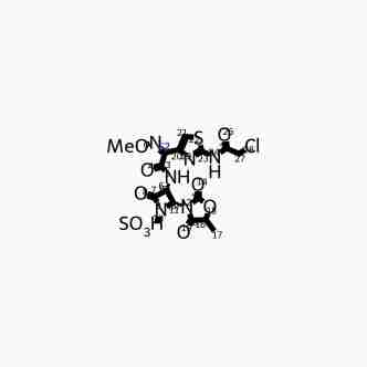 CO/N=C(\C(=O)N[C@@H]1C(=O)N(S(=O)(=O)O)[C@@H]1N1C(=O)OC(C)C1=O)c1csc(NC(=O)CCl)n1